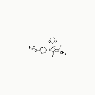 COc1ccc(N2C(=O)[C@H]([C@@H](C)F)[C@H]2C2OCCO2)cc1